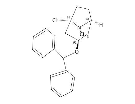 CN1[C@H]2CC[C@]1(Cl)C[C@H](OC(c1ccccc1)c1ccccc1)C2